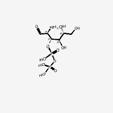 N[C@H](C=O)[C@@H](OP(=O)(O)OP(=O)(O)O)[C@H](O)[C@H](O)CO